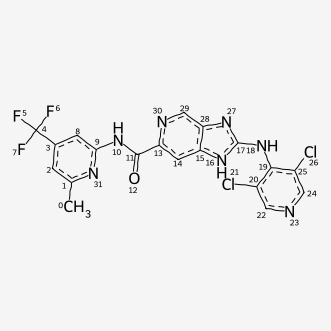 Cc1cc(C(F)(F)F)cc(NC(=O)c2cc3[nH]c(Nc4c(Cl)cncc4Cl)nc3cn2)n1